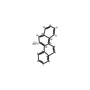 [Li].c1ccc2c(c1)ccc1c3ccccc3ccc21